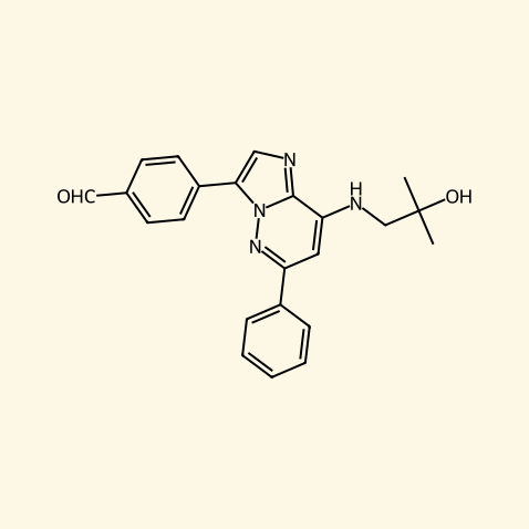 CC(C)(O)CNc1cc(-c2ccccc2)nn2c(-c3ccc(C=O)cc3)cnc12